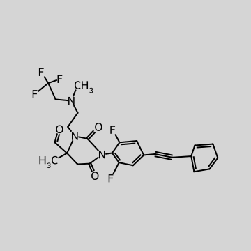 CN(CCN1C(=O)N(c2c(F)cc(C#Cc3ccccc3)cc2F)C(=O)CC1(C)C=O)CC(F)(F)F